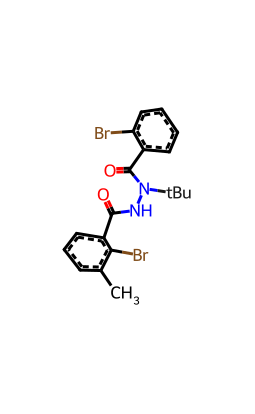 Cc1cccc(C(=O)NN(C(=O)c2ccccc2Br)C(C)(C)C)c1Br